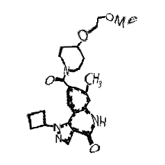 COCCOC1CCN(C(=O)c2cc3c(cc2C)[nH]c(=O)c2cnn(C4CCC4)c23)CC1